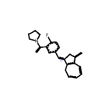 C=C1C/C(=C\c2ccc(F)c(C(=C)N3CCCC3)c2)C2=C1C=CC=CC2